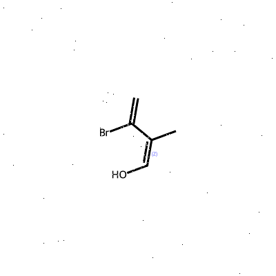 C=C(Br)/C(C)=C\O